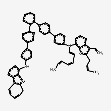 C=Cc1c(C/C=C\C)oc2c(N(/C=C/C=C\C=C/C)c3ccc(-c4ccc(-c5ccccc5-c5ccc(-c6ccc(Nc7cccc8c9c(oc78)CC=CC=C9)cc6)cc5)cc4)cc3)cccc12